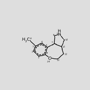 Cc1ccc2c(c1)C1CNCC1CCO2